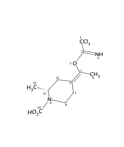 C/C(OC(=N)C(Cl)(Cl)Cl)=C1\CCN(C(=O)O)[C@H](C)C1